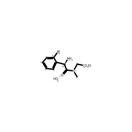 CCOC(=O)CN(C)C(=O)[C@H](N)c1ccccc1Br.Cl